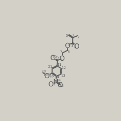 C=C(C)C(=O)OCCOC(=O)c1ccc([N+](=O)[O-])c(OC)c1